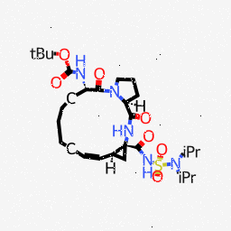 CC(C)N(C(C)C)S(=O)(=O)NC(=O)[C@@]12C[C@H]1/C=C\CCCCC[C@H](NC(=O)OC(C)(C)C)C(=O)N1CCC[C@H]1C(=O)N2